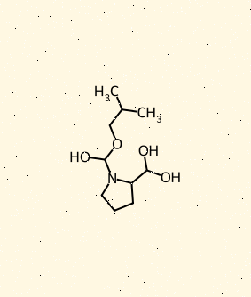 CC(C)COC(O)N1CCCC1C(O)O